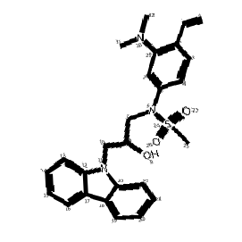 C=Cc1ccc(N(CC(O)Cn2c3ccccc3c3ccccc32)S(C)(=O)=O)cc1N(C)C